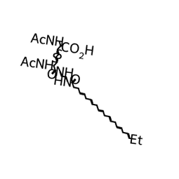 CCC=CCC=CCC=CCC=CCC=CCC=CCCC(=O)NCCNC(=O)C(CSSCC(NC(C)=O)C(=O)O)NC(C)=O